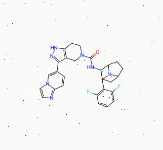 O=C(NC1CCC2CCC1N2Cc1c(F)cccc1F)N1CCc2[nH]nc(-c3ccc4nccn4c3)c2C1